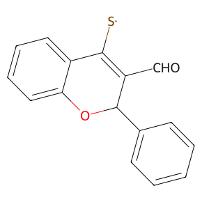 O=CC1=C([S])c2ccccc2OC1c1ccccc1